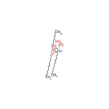 CCCCCCCCCCCC(=O)N[C@@H](CCC(=O)O)C(=O)O.CCCCCCCCCCCCOCCCCCCCCCCCC